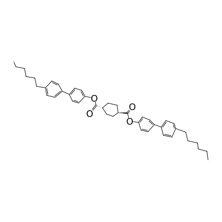 CCCCCCc1ccc(-c2ccc(OC(=O)[C@H]3CC[C@H](C(=O)Oc4ccc(-c5ccc(CCCCCC)cc5)cc4)CC3)cc2)cc1